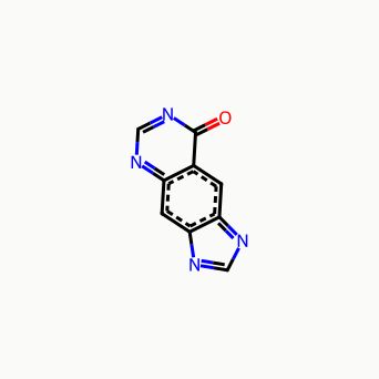 O=C1N=CN=c2cc3c(cc21)=NC=N3